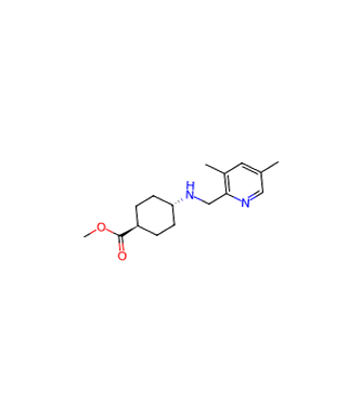 COC(=O)[C@H]1CC[C@H](NCc2ncc(C)cc2C)CC1